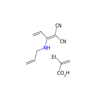 C=C(CC)C(=O)O.C=CCNC(C=C)=C(C#N)C#N